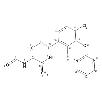 CC[C@@H](N[C@@H](C)CNC=O)c1ccc(Cl)c(Oc2ncccn2)c1F